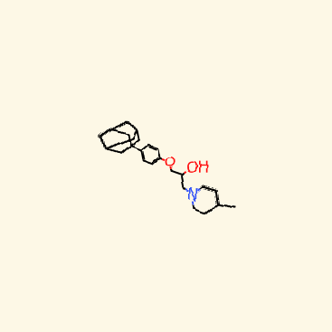 CC1CCN(CC(O)COc2ccc(C34CC5CC(CC(C5)C3)C4)cc2)CC1